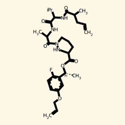 C=CCOc1ccc(F)c([C@@H](C)OC(=O)C2CCCN(C(=O)C(C)NC(=O)C(NC(=O)C(C)CC=C)C(C)C)N2)c1